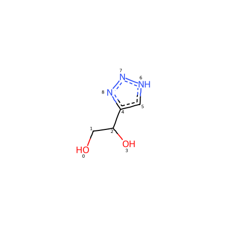 OCC(O)c1c[nH]nn1